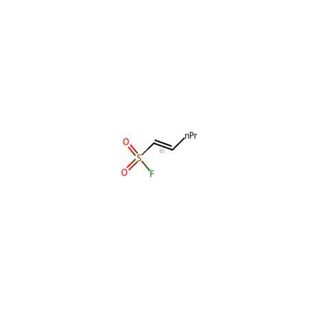 CCC/C=C/S(=O)(=O)F